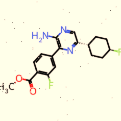 COC(=O)c1ccc(-c2nc([C@H]3CC[C@H](F)CC3)cnc2N)cc1F